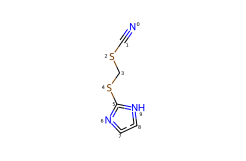 N#CSCSc1ncc[nH]1